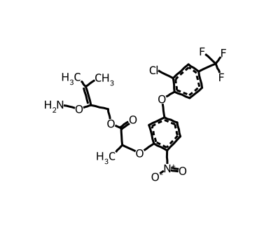 CC(C)=C(COC(=O)C(C)Oc1cc(Oc2ccc(C(F)(F)F)cc2Cl)ccc1[N+](=O)[O-])ON